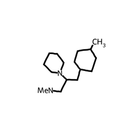 CNCC(CC1CCC(C)CC1)N1CCCCC1